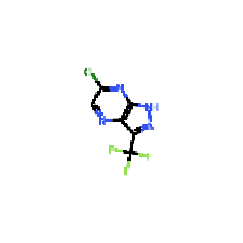 FC(F)(F)c1n[nH]c2nc(Cl)cnc12